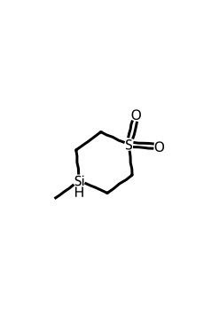 C[SiH]1CCS(=O)(=O)CC1